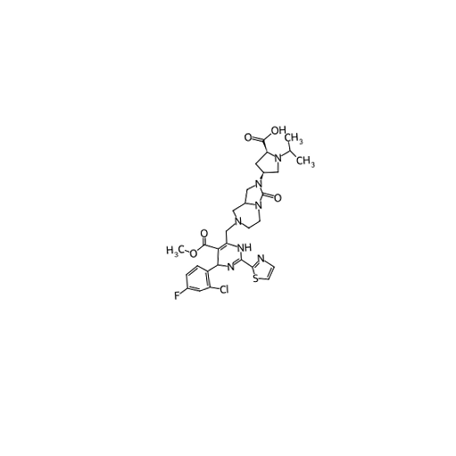 COC(=O)C1=C(CN2CCN3C(=O)N([C@H]4C[C@@H](C(=O)O)N(C(C)C)C4)CC3C2)NC(c2nccs2)=NC1c1ccc(F)cc1Cl